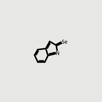 [Se]=C1C=c2ccccc2=N1